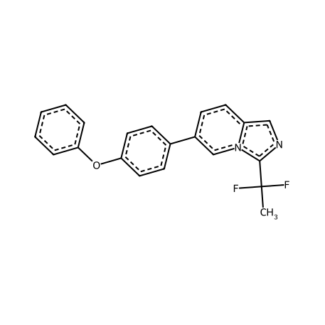 CC(F)(F)c1ncc2ccc(-c3ccc(Oc4ccccc4)cc3)cn12